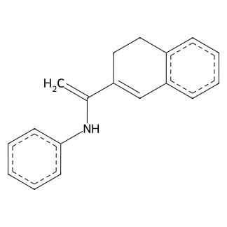 C=C(Nc1ccccc1)C1=Cc2ccccc2CC1